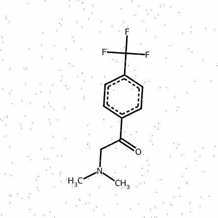 CN(C)CC(=O)c1ccc(C(F)(F)F)cc1